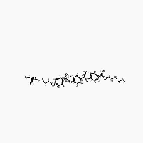 C=CC(=O)OCCCCOc1ccc(C(=O)Oc2ccc(C(=O)Oc3ccc(C(=O)OCCCCCC)cc3)cc2)cc1